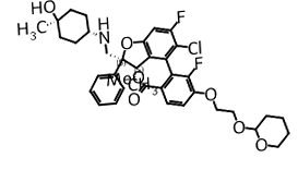 COC(=O)c1ccc(OCCOC2CCCCO2)c(F)c1-c1c(Cl)c(F)cc2c1[C@H](C)[C@@](CN[C@H]1CC[C@](C)(O)CC1)(c1ccccc1)O2